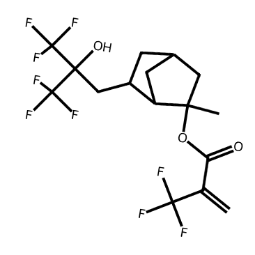 C=C(C(=O)OC1(C)CC2CC(CC(O)(C(F)(F)F)C(F)(F)F)C1C2)C(F)(F)F